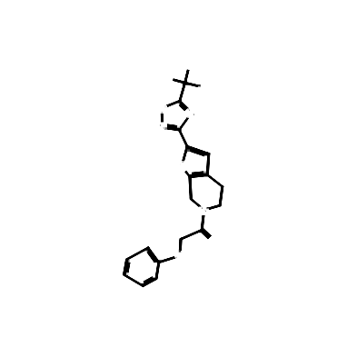 O=C(COc1ccccc1)N1CCc2cc(-c3noc(C(F)(F)F)n3)sc2C1